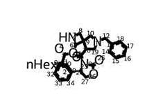 CCCCCCC(C)C(=O)OC1NCC12CN(Cc1ccccc1)CC2C(=O)N1C(=O)OC[C@H]1c1ccccc1